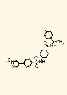 C[C@@H](NC(=O)[C@H]1CC[C@H](NS(=O)(=O)c2ccc(-c3cnn(C)c3)nc2)CC1)c1ccc(F)cc1